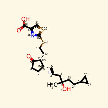 CC(O)(C/C=C/[C@@H]1CCC(=O)[C@@H]1CCSc1nc(C(=O)O)cs1)CCC1CC1